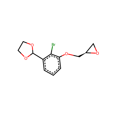 Brc1c(OC[C@H]2CO2)cccc1C1OCCO1